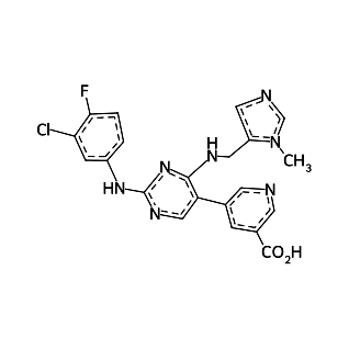 Cn1cncc1CNc1nc(Nc2ccc(F)c(Cl)c2)ncc1-c1cncc(C(=O)O)c1